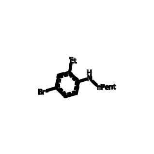 CCCCCNc1ccc(Br)cc1CC